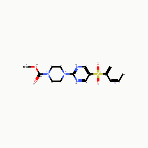 C=C(/C=C\C)S(=O)(=O)c1cnc(N2CCN(C(=O)OC(C)(C)C)CC2)nc1